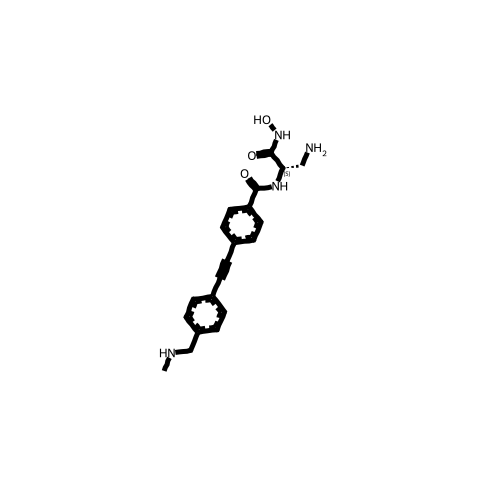 CNCc1ccc(C#Cc2ccc(C(=O)N[C@@H](CN)C(=O)NO)cc2)cc1